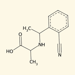 CC(NC(C)c1ccccc1C#N)C(=O)O